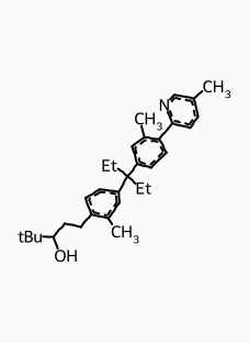 CCC(CC)(c1ccc(CCC(O)C(C)(C)C)c(C)c1)c1ccc(-c2ccc(C)cn2)c(C)c1